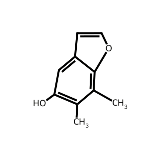 Cc1c(O)cc2ccoc2c1C